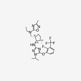 CCN(C[C@@H]1CC[C@H](C)[C@H]1Nc1nc(Oc2cccc(C(F)(F)F)c2F)n(C(C)C)n1)c1nc(C)no1